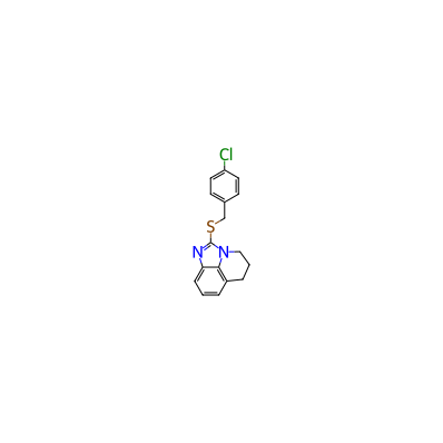 Clc1ccc(CSc2nc3cccc4c3n2CCC4)cc1